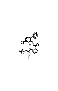 CC(C)(C)OC[C@@H](O)C(=O)N1N=CC[C@H]1C(=O)NCc1cc(Cl)ccc1-n1cnnn1